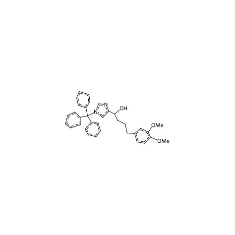 COc1ccc(CCCC(O)c2cn(C(c3ccccc3)(c3ccccc3)c3ccccc3)cn2)cc1OC